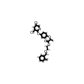 CC(Oc1ccc(Oc2ncc(Cl)cc2Cl)cc1)C(=O)OCCOCc1ccccc1F